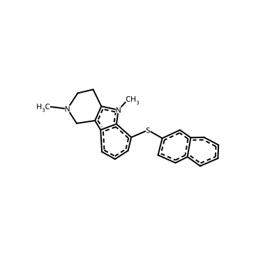 CN1CCc2c(c3cccc(Sc4ccc5ccccc5c4)c3n2C)C1